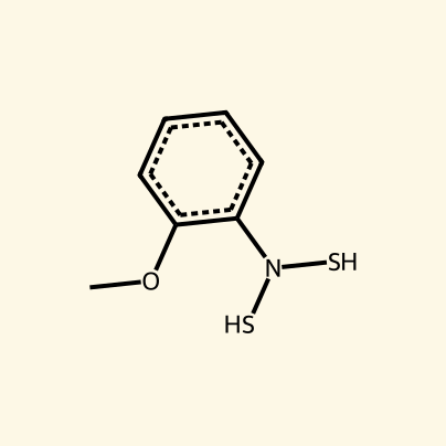 COc1ccccc1N(S)S